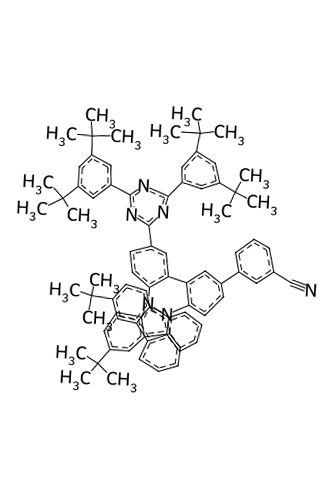 CC(C)(C)c1cc(-c2nc(-c3cc(C(C)(C)C)cc(C(C)(C)C)c3)nc(-c3ccc(-n4c5ccccc5c5cc(C(C)(C)C)ccc54)c(-c4cc(-c5cccc(C#N)c5)ccc4-n4c5ccccc5c5cc(C(C)(C)C)ccc54)c3)n2)cc(C(C)(C)C)c1